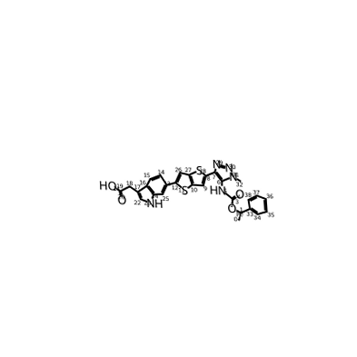 C[C@@H](OC(=O)Nc1c(-c2cc3sc(-c4ccc5c(CC(=O)O)c[nH]c5c4)cc3s2)nnn1C)c1ccccc1